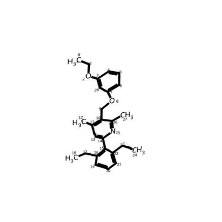 CCOc1cccc(OCc2c(C)cc(-c3c(CC)cccc3CC)nc2C)c1